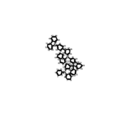 c1ccc(N(c2ccccc2)c2cccc(C3(c4ccccc4)c4ccccc4-c4ccc(N(c5cccc(-c6ccc(-n7c8ccccc8c8ccccc87)cc6)c5)c5cccc6ccccc56)cc43)c2)cc1